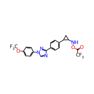 O=C(ONC1CC1c1ccc(-c2ncn(-c3ccc(OC(F)(F)F)cc3)n2)cc1)C(F)(F)F